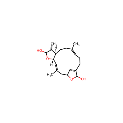 C=C1C(O)O[C@H]2/C=C(\C)CC3C=C(CC/C=C(\C)CC[C@H]12)C(O)O3